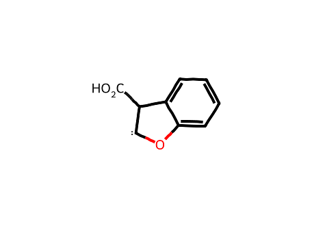 O=C(O)C1[C]Oc2ccccc21